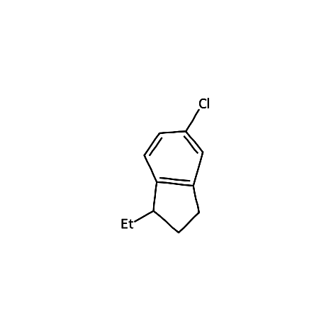 CCC1CCc2cc(Cl)ccc21